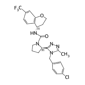 Cc1nnc([C@H]2CCCN2C(=O)N[C@H]2CCOc3cc(C(F)(F)F)ccc32)n1Cc1ccc(Cl)cc1